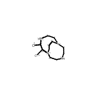 ClC1NCCN2CCNCCN(CC2)C1Cl